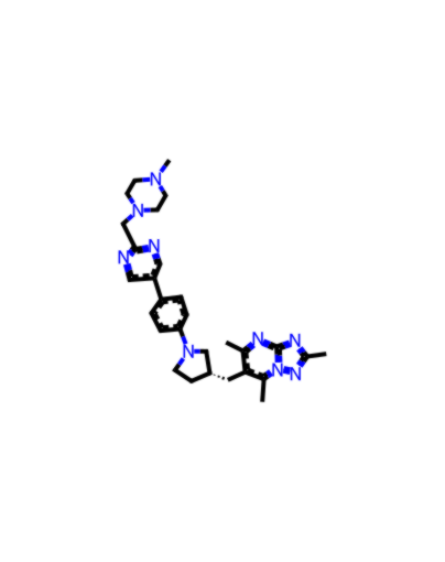 Cc1nc2nc(C)c(C[C@@H]3CCN(c4ccc(-c5cnc(CN6CCN(C)CC6)nc5)cc4)C3)c(C)n2n1